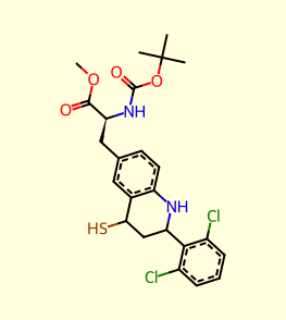 COC(=O)[C@H](Cc1ccc2c(c1)C(S)CC(c1c(Cl)cccc1Cl)N2)NC(=O)OC(C)(C)C